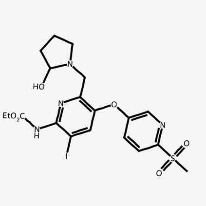 CCOC(=O)Nc1nc(CN2CCCC2O)c(Oc2ccc(S(C)(=O)=O)nc2)cc1I